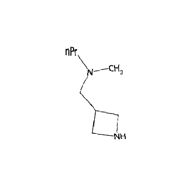 CCCN(C)CC1CNC1